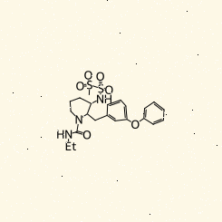 CCNC(=O)N1CCCC(NS(=O)(=O)S(C)(=O)=O)C1Cc1cccc(Oc2ccccc2)c1